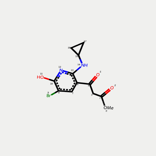 COC(=O)CC(=O)c1cc(Br)c(O)nc1NC1CC1